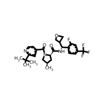 C[C@@H]1C[C@H](C(=O)N[C@@H](c2ccc(C(F)(F)F)cc2F)C2COC2)N(C(=O)c2ccnc(C(C)(C)C)c2)C1